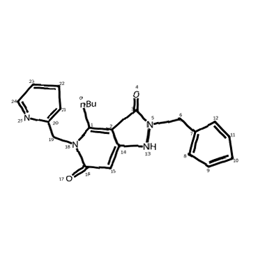 CCCCc1c2c(=O)n(Cc3ccccc3)[nH]c2cc(=O)n1Cc1ccccn1